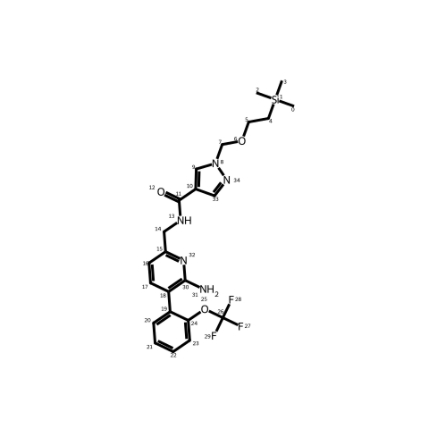 C[Si](C)(C)CCOCn1cc(C(=O)NCc2ccc(-c3ccccc3OC(F)(F)F)c(N)n2)cn1